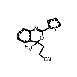 CC1(CCC#N)OC(c2cccs2)=Nc2ccccc21